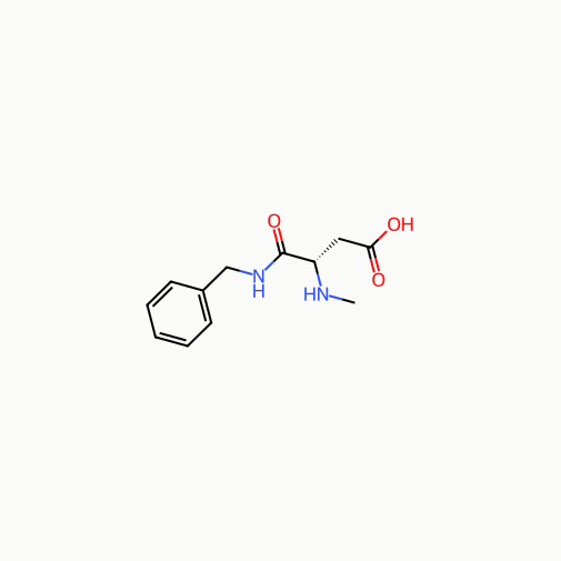 CN[C@@H](CC(=O)O)C(=O)NCc1ccccc1